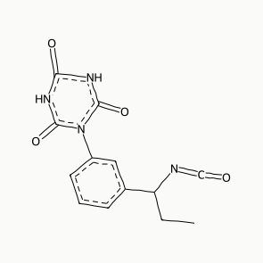 CCC(N=C=O)c1cccc(-n2c(=O)[nH]c(=O)[nH]c2=O)c1